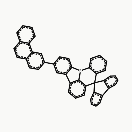 c1ccc2c(c1)B1c3ccc(-c4ccc5ccc6ccccc6c5c4)cc3-c3cccc(c31)C21c2ccccc2-c2ccccc21